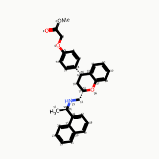 COC(=O)COc1ccc([C@H]2C[C@@H](CN[C@H](C)c3cccc4ccccc34)Oc3ccccc32)cc1